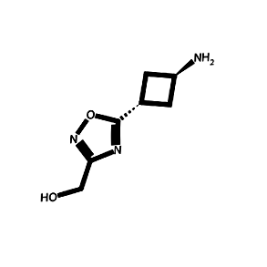 N[C@H]1C[C@H](c2nc(CO)no2)C1